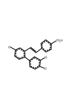 O=C(O)c1ccc(C=Cc2cc(Cl)ccc2-c2ccc(Cl)c(Cl)c2)cc1